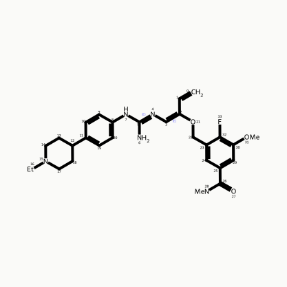 C=C/C(=C\N=C(/N)Nc1ccc(C2CCN(CC)CC2)cc1)OCc1cc(C(=O)NC)cc(OC)c1F